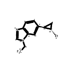 CC[C@H]1C[C@@H]1c1ccc2ncn(CC(F)(F)F)c2c1